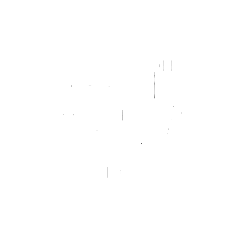 CC(=O)[O-].OC[P+](CO)(CO)CO